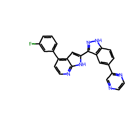 Fc1cccc(-c2ccnc3[nH]c(-c4n[nH]c5ccc(-c6cnccn6)cc45)cc23)c1